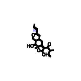 C/C=C/C1=CC2CC3=C(C(=O)C(C)CC)C(O)OC3(C)C(O)C2CO1